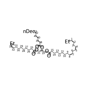 CC/C=C\C/C=C\C/C=C\CCCCCCCC(=O)OCC(COC(=O)CCCCCCC/C=C\CC)OC(=O)CCCCCCCCCCCCCCC